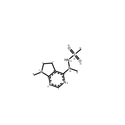 CN1CCc2c1ncnc2N(C)NS(C)(=O)=O